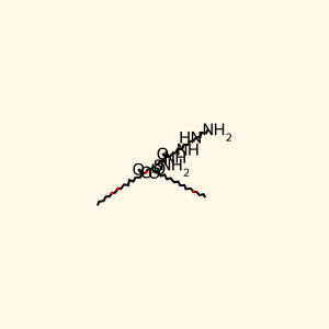 CCCCCCCCCCCCCCCC(=O)OCC(CSCC(N)C(=O)NCCCNCCCCNCCCN)OC(=O)CCCCCCCCCCCCCCC